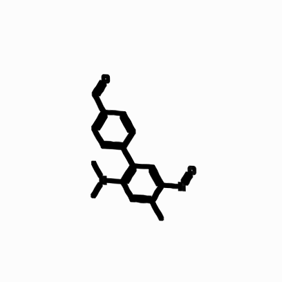 Cc1cc(N(C)C)c(-c2ccc(C=O)cc2)cc1N=O